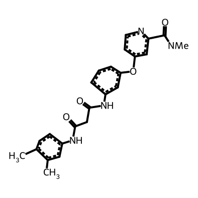 CNC(=O)c1cc(Oc2cccc(NC(=O)CC(=O)Nc3ccc(C)c(C)c3)c2)ccn1